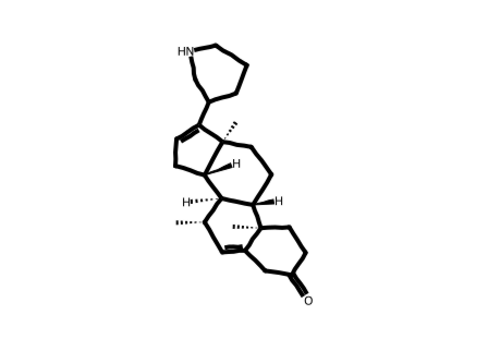 C[C@H]1C=C2CC(=O)CC[C@]2(C)[C@H]2CC[C@]3(C)C(C4CCCNC4)=CC[C@H]3[C@H]12